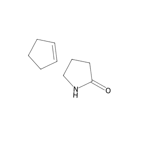 C1=CCCC1.O=C1CCCN1